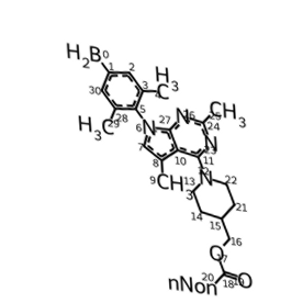 Bc1cc(C)c(-n2cc(C)c3c(N4CCC(COC(=O)CCCCCCCCC)CC4)nc(C)nc32)c(C)c1